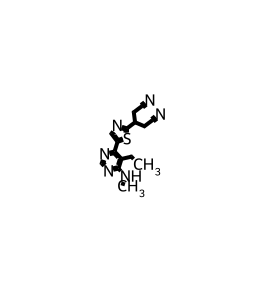 CCc1c(NC)ncnc1-c1cnc(C(CC#N)CC#N)s1